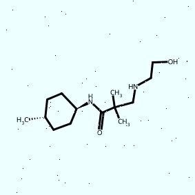 CC(C)(CNCCO)C(=O)N[C@H]1CC[C@H](C)CC1